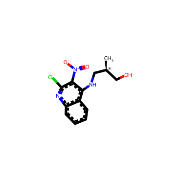 C[C@@H](CO)CNc1c([N+](=O)[O-])c(Cl)nc2ccccc12